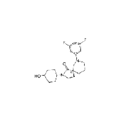 O=C1N(C2CCC(O)CC2)CC[C@@]12CCCN(c1cc(F)cc(F)c1)C2